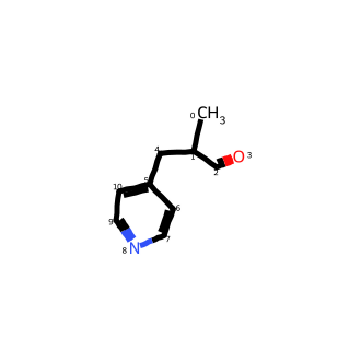 CC(C=O)Cc1ccncc1